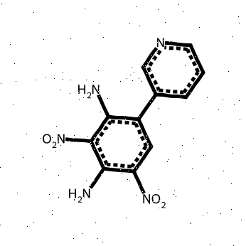 Nc1c(-c2cccnc2)cc([N+](=O)[O-])c(N)c1[N+](=O)[O-]